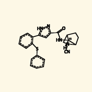 N#CN1CC2CCC1[C@@H]2NC(=O)c1cc(-c2ccccc2Sc2ccccc2)[nH]n1